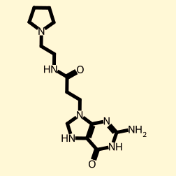 Nc1nc2c(c(=O)[nH]1)NCN2CCC(=O)NCCN1CCCC1